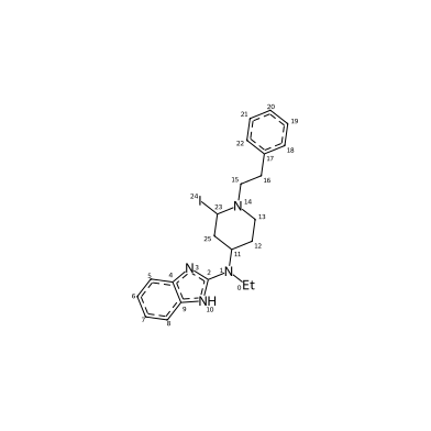 CCN(c1nc2ccccc2[nH]1)C1CCN(CCc2ccccc2)C(I)C1